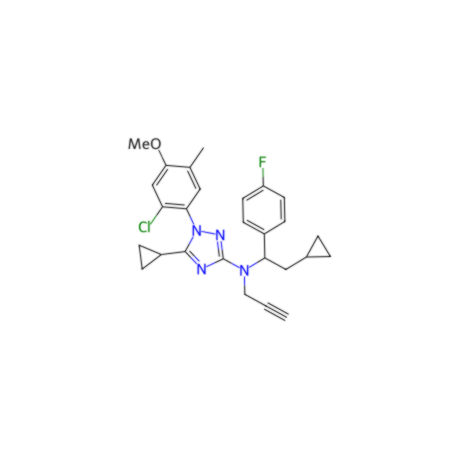 C#CCN(c1nc(C2CC2)n(-c2cc(C)c(OC)cc2Cl)n1)C(CC1CC1)c1ccc(F)cc1